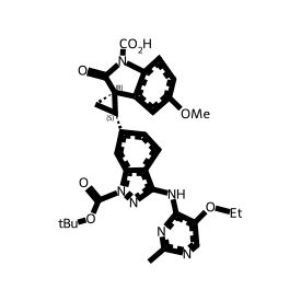 CCOc1cnc(C)nc1Nc1nn(C(=O)OC(C)(C)C)c2cc([C@@H]3C[C@@]34C(=O)N(C(=O)O)c3ccc(OC)cc34)ccc12